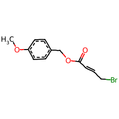 COc1ccc(COC(=O)/C=C/CBr)cc1